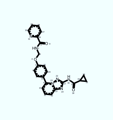 O=C(NCOc1ccc(-c2cccc3nc(NC(=O)C4CC4)nn23)cc1)c1ccccn1